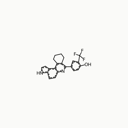 Oc1ccc(-c2nc3ccc4[nH]ccc4c3c3c2CCCC3)cc1C(F)(F)F